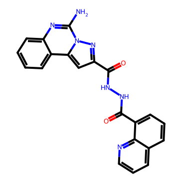 Nc1nc2ccccc2c2cc(C(=O)NNC(=O)c3cccc4cccnc34)nn12